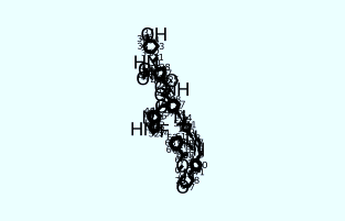 COc1cc(CN2CCN(C3CC4(C3)CN(c3ccc(C(=O)NS(=O)(=O)c5ccc(NC[C@H]6CC[C@](C)(O)CC6)c([N+](=O)[O-])c5)c(Oc5cnc6[nH]cc(F)c6c5)c3)C4)[C@H](c3ccccc3C(C)C)C2)ccc1N1CCOCC1